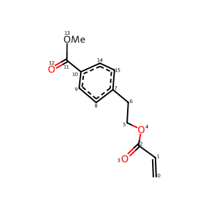 C=CC(=O)OCCc1ccc(C(=O)OC)cc1